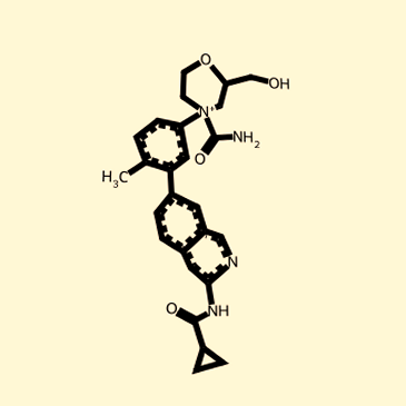 Cc1ccc([N+]2(C(N)=O)CCOC(CO)C2)cc1-c1ccc2cc(NC(=O)C3CC3)ncc2c1